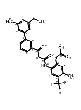 CCc1cc(-c2cccc(C(=O)CC(=O)Nc3cc(C(F)(F)F)c(C)cc3NC(=O)O)c2)cc(C)n1